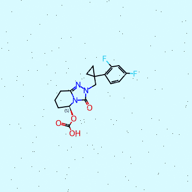 O=C(O)O[C@H]1CCCc2nn(CC3(c4ccc(F)cc4F)CC3)c(=O)n21